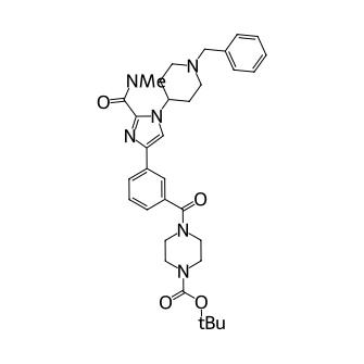 CNC(=O)c1nc(-c2cccc(C(=O)N3CCN(C(=O)OC(C)(C)C)CC3)c2)cn1C1CCN(Cc2ccccc2)CC1